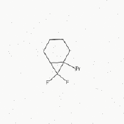 CC(C)C12CCCCC1C2(F)F